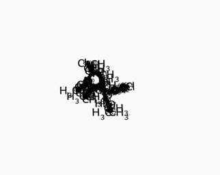 C[C@H](NC(=O)[C@@H]1Cc2ccc(OC(=O)OC(C)(C)C)c(c2)-c2cc(ccc2OC(=O)OC(C)(C)C)[C@H](N(C)C(=O)[C@H](CCCCNC(=O)OC(C)(C)C)NC(=O)c2ccc(-c3ccc(Cl)cc3)cc2)C(=O)N[C@@H](C)C(=O)N1)C(=O)CCl